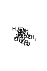 C=CCOC(=O)O[C@H]1C(Oc2c3c(c(-c4ccc5c(c4)OCO5)c4cc(OC)c(OC)cc24)C(=O)OC3)OC[C@@H](O)[C@@H]1OC(C)=O